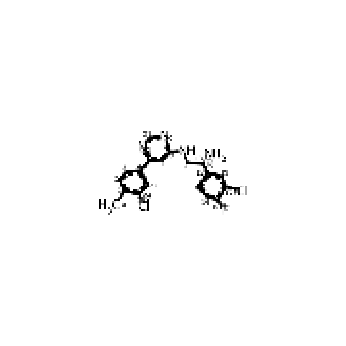 Cc1ccc(-c2cc(NC[C@H](N)c3ccc(F)c(Cl)c3)ncn2)cc1Cl